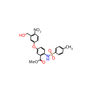 COC(=O)c1cc(Oc2ccc([N+](=O)[O-])c(CO)c2)ccc1NS(=O)(=O)c1ccc(C)cc1